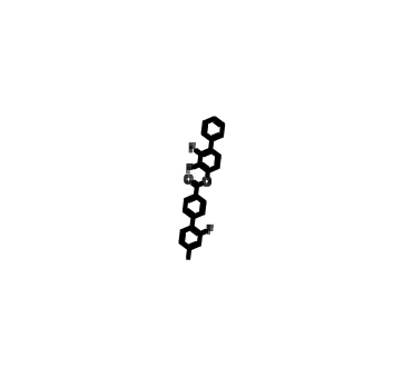 Cc1ccc(-c2ccc(C(=O)Oc3ccc(-c4ccccc4)c(F)c3F)cc2)c(F)c1